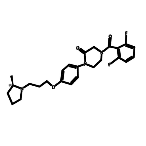 C[C@@H]1CCCN1CCCOc1ccc(N2CCN(C(=O)c3c(F)cccc3F)CC2=O)cc1